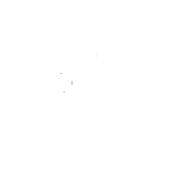 Cc1ccc(OCCN(C)C)cc1C(=O)NC1(c2cccc(Br)c2C)CC1